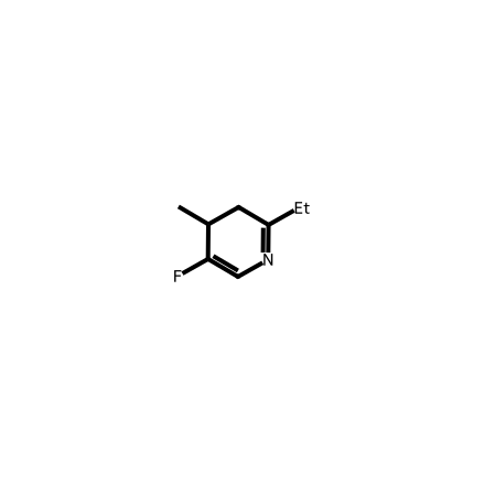 CCC1=NC=C(F)C(C)C1